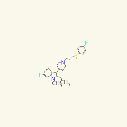 CCc1c(C2=CCN(CCCSc3ccc(F)cc3)CC2)c2ccc(F)cc2n1C